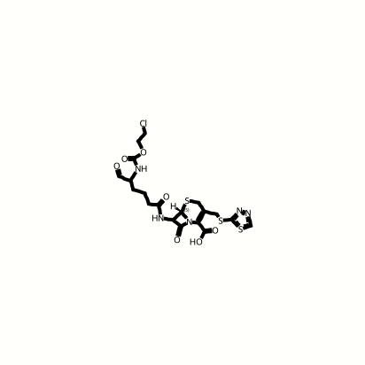 O=CC(CCCC(=O)NC1C(=O)N2C(C(=O)O)=C(CSc3nncs3)CS[C@@H]12)NC(=O)OCCCl